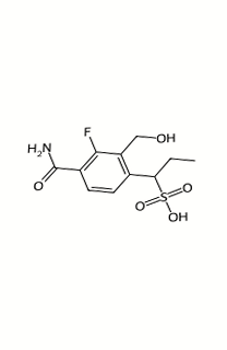 CCC(c1ccc(C(N)=O)c(F)c1CO)S(=O)(=O)O